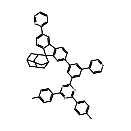 Cc1ccc(-c2nc(-c3ccc(C)cc3)nc(-c3cc(-c4ccncc4)cc(-c4ccc5c(c4)C4(c6ccc(-c7ccccn7)cc6-5)C5CC6CC(C5)CC4C6)c3)n2)cc1